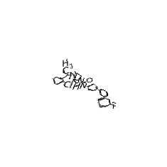 CC(c1ccccc1Cl)N1CC2CC1CN2C(=O)Nc1ccc(Oc2cccc(F)c2)cc1